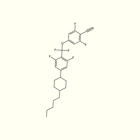 CCCCCC1CCC(c2cc(F)c(C(F)(F)Oc3cc(F)c(C#N)c(F)c3)c(F)c2)CC1